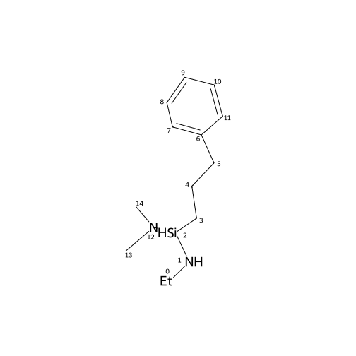 CCN[SiH](CCCc1ccccc1)N(C)C